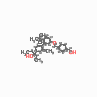 CCC(O)(CC)c1ccc(-c2cc(OCc3c[c]c(CO)cc3)ccc2C(C)(C)C)c(C)c1